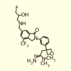 CN(C)/C(CC1(c2cccc(N3Cc4c(cc(CNCC(O)CF)cc4C(F)(F)F)C3=O)c2)COC1)=N\N